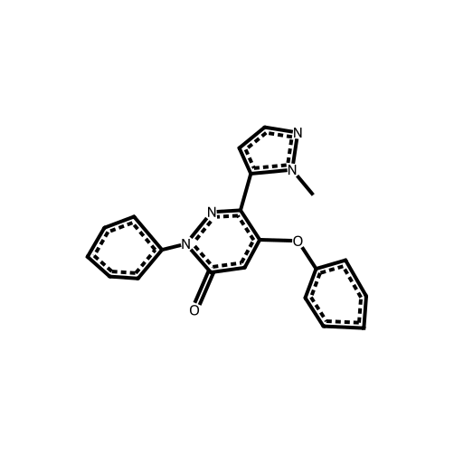 Cn1nccc1-c1nn(-c2ccccc2)c(=O)cc1Oc1ccccc1